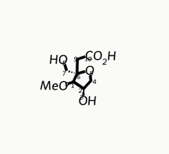 COC1[C@H](O)CO[C@]1(CO)CC(=O)O